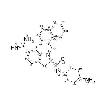 N=C(N)c1ccc2c(c1)N(Cc1ccnc3ccccc13)C(C(=O)N[C@H]1CC[C@H](N)CC1)C2